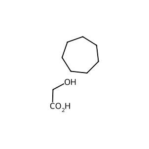 C1CCCCCC1.O=C(O)CO